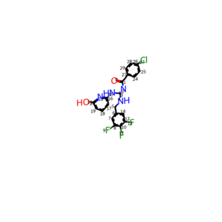 O=C(/N=C(/NCc1cc(F)c(F)c(F)c1)Nc1cccc(O)n1)c1ccc(Cl)cc1